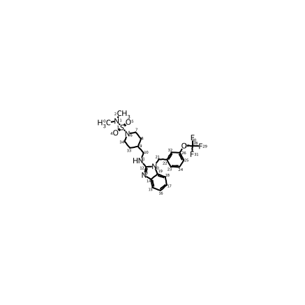 CN(C)S(=O)(=O)N1CCC(CNc2nc3ccccc3n2Cc2cccc(OC(F)(F)F)c2)CC1